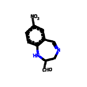 O=CC1CN=Cc2cc([N+](=O)[O-])ccc2N1